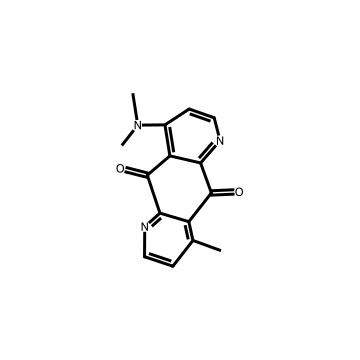 Cc1ccnc2c1C(=O)c1nccc(N(C)C)c1C2=O